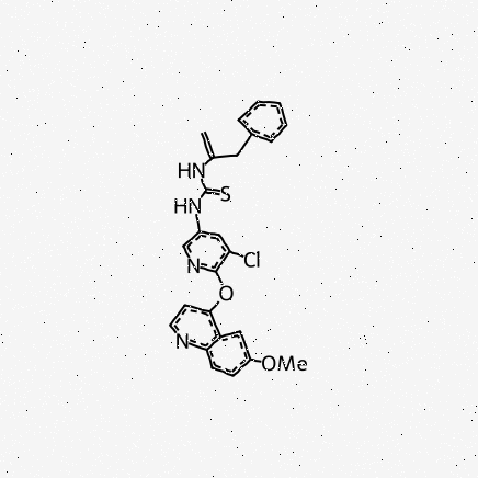 C=C(Cc1ccccc1)NC(=S)Nc1cnc(Oc2ccnc3ccc(OC)cc23)c(Cl)c1